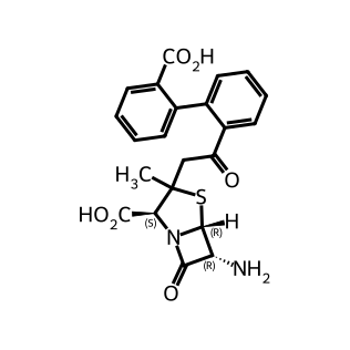 CC1(CC(=O)c2ccccc2-c2ccccc2C(=O)O)S[C@@H]2[C@H](N)C(=O)N2[C@H]1C(=O)O